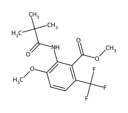 COC(=O)c1c(C(F)(F)F)ccc(OC)c1NC(=O)C(C)(C)C